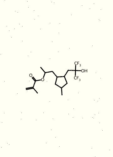 C=C(C)C(=O)OC(C)CC1CC(C)CC1CC(O)(C(F)(F)F)C(F)(F)F